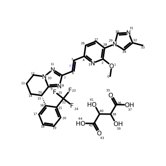 COc1nc(/C=C/c2nc3n(n2)CCC[C@H]3c2ccccc2C(F)(F)F)ccc1-n1cnc(C)c1.O=C(O)C(O)C(O)C(=O)O